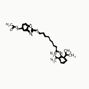 CC(=O)OSc1ccc2oc(SCCCCCCCCC(=O)Nc3c(C(C)C)cccc3C(C)C)nc2c1